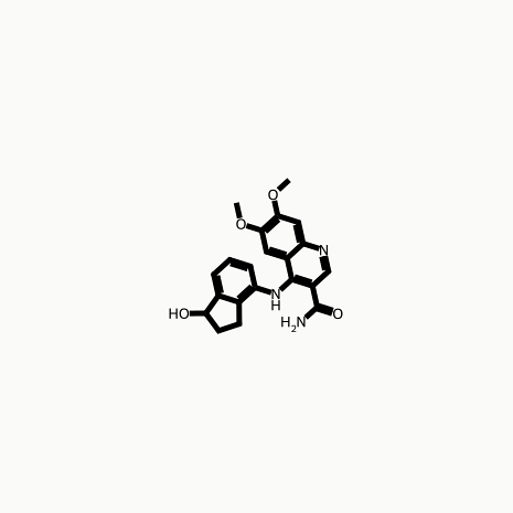 COc1cc2ncc(C(N)=O)c(Nc3cccc4c3CCC4O)c2cc1OC